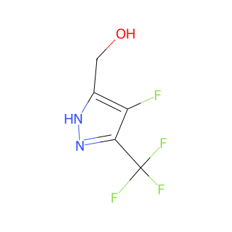 OCc1[nH]nc(C(F)(F)F)c1F